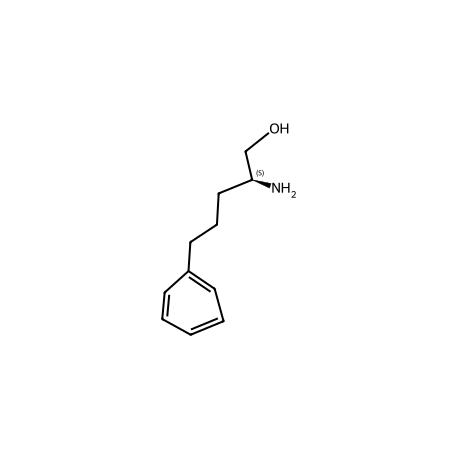 N[C@H](CO)CCCc1ccccc1